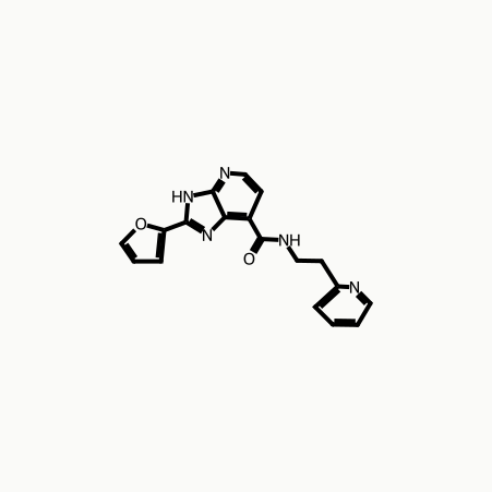 O=C(NCCc1ccccn1)c1ccnc2[nH]c(-c3ccco3)nc12